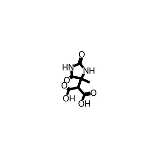 CC1(C(C(=O)O)C(=O)O)NC(=O)NC1=O